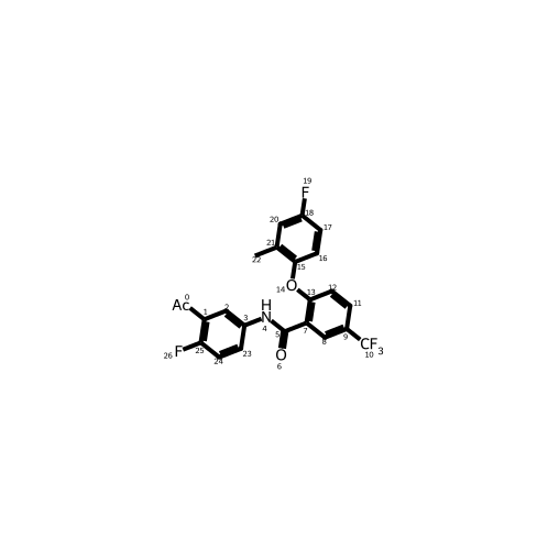 CC(=O)c1cc(NC(=O)c2cc(C(F)(F)F)ccc2Oc2ccc(F)cc2C)ccc1F